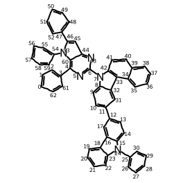 c1ccc(-c2nc(-n3c4ccc(-c5ccc6c(c5)c5ccccc5n6-c5ccccc5)cc4c4c5ccccc5ccc43)nc3cc(-c4ccccc4)n(-c4ccccc4)c23)cc1